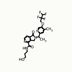 Cc1cc(C(C)N2Cc3c(ccnc3C(=O)NCCCO)C2=O)ncc1OCC(F)(F)C(F)F